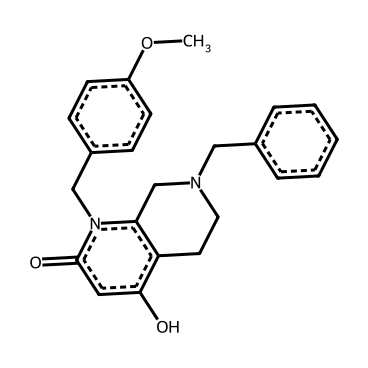 COc1ccc(Cn2c3c(c(O)cc2=O)CCN(Cc2ccccc2)C3)cc1